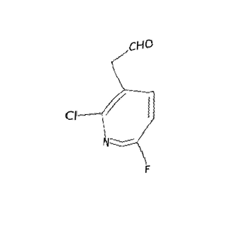 O=CCc1ccc(F)nc1Cl